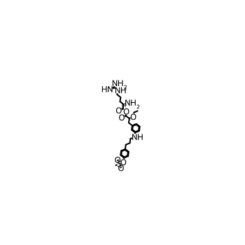 CCOC(Cc1cccc(NCCCc2ccc(OS(C)(=O)=O)cc2)c1)C(=O)OC(=O)[C@@H](N)CCCNC(=N)N